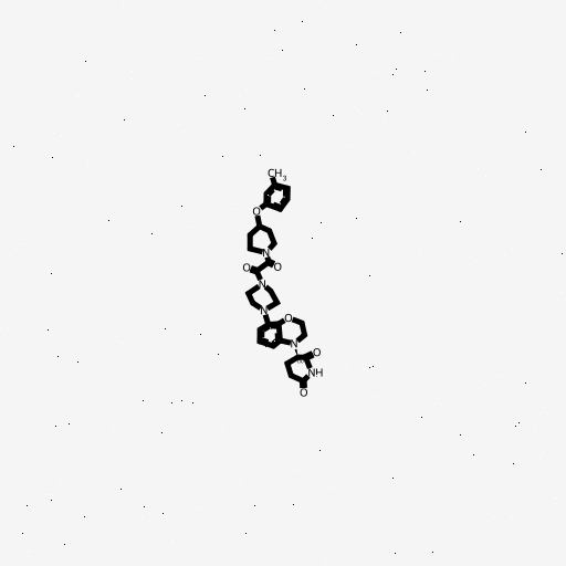 Cc1cccc(OC2CCN(C(=O)C(=O)N3CCN(c4cccc5c4OCCN5[C@H]4CCC(=O)NC4=O)CC3)CC2)c1